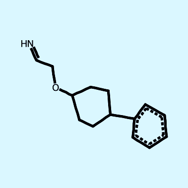 N=CCOC1CCC(c2ccccc2)CC1